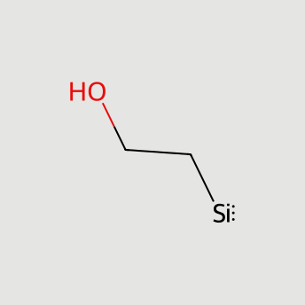 OCC[Si]